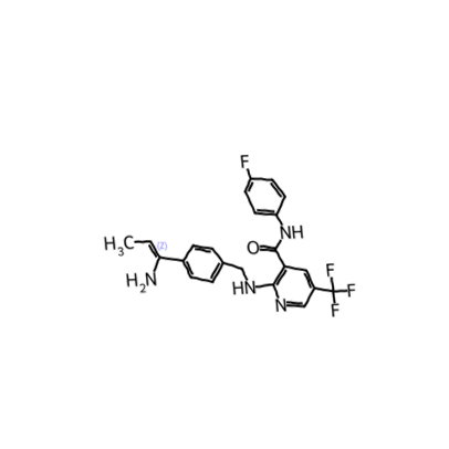 C/C=C(\N)c1ccc(CNc2ncc(C(F)(F)F)cc2C(=O)Nc2ccc(F)cc2)cc1